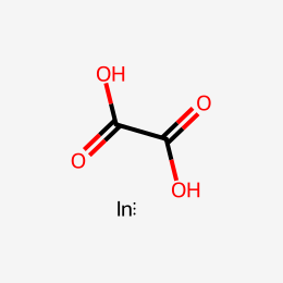 O=C(O)C(=O)O.[In]